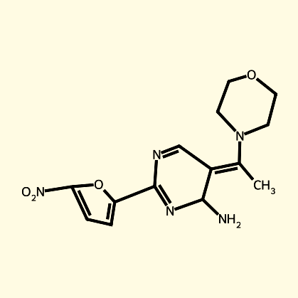 CC(=C1C=NC(c2ccc([N+](=O)[O-])o2)=NC1N)N1CCOCC1